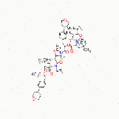 CNC1(C(=O)C(C=O)C(=O)N(C)C(CC(C)(C)F)C(=O)OC(Cc2ccc(C3CCOCC3)cc2)C(=O)N(C)C2(C(=O)C(C=O)C(=O)N(C)C(CC(C)(C)F)C(=O)OC(Cc3ccc(C4CCOCC4)cc3)C(=O)O)CC2)CC1